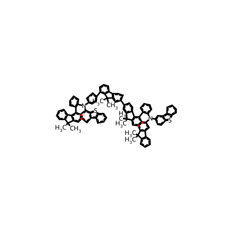 CC1(C)c2ccccc2-c2cc(N(c3ccc4sc5ccccc5c4c3)c3ccccc3-c3cccc4c3-c3ccc(-c5ccc6c(c5)C(C)(C)c5c(-c7ccc(N(c8ccccc8-c8cccc9c8-c8ccccc8C9(C)C)c8cccc9c8sc8ccccc89)cc7)cccc5-6)cc3C4(C)C)ccc21